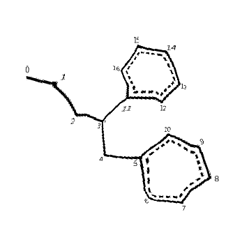 CCC[C](Cc1ccccc1)c1ccccc1